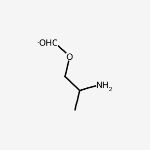 CC(N)CO[C]=O